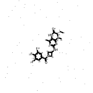 CC[C@H]1C(=O)Nc2c(C)nc(NC3CN(C(=O)c4cc(F)c(F)c(F)c4)C3)nc2N1C